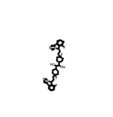 OC(C1CCC(F)(CCC2c3c(F)cccc3-c3cncn32)CC1)C(O)C1CCC(F)(CCC2c3c(F)cccc3-c3cncn32)CC1